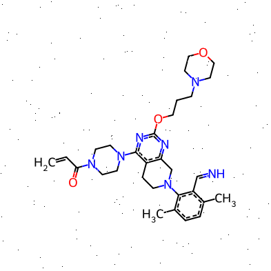 C=CC(=O)N1CCN(c2nc(OCCCN3CCOCC3)nc3c2CCN(c2c(C)ccc(C)c2C=N)C3)CC1